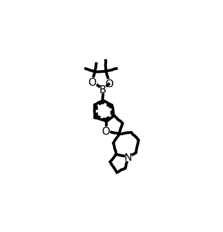 CC1(C)OB(c2ccc3c(c2)CC2(CCCN4CCCC4C2)O3)OC1(C)C